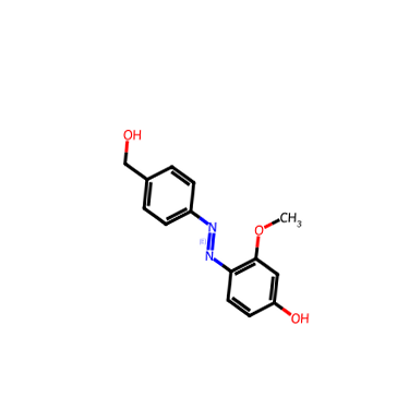 COc1cc(O)ccc1/N=N/c1ccc(CO)cc1